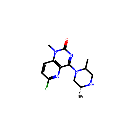 CCC[C@@H]1CN(c2nc(=O)n(C)c3ccc(Cl)nc23)C(C)CN1